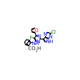 O=C(O)C1C2CCC(CC2)C1Nc1nc(-c2c[nH]c3nc(Cl)cnc23)nc(-c2ccco2)c1F